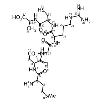 CSCCC(N)C(=O)NC(CC(=O)O)C(=O)NCC(=O)NC(CCCNC(=N)N)C(=O)NC(CS)C(=O)NC(C)C(=O)O